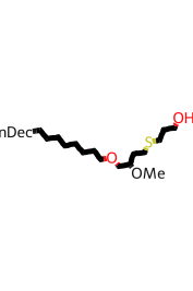 CCCCCCCCCCCCCCCCCCOCC(CCSCCCO)OC